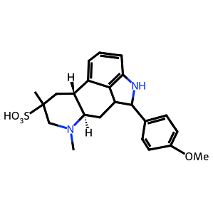 COc1ccc(C2Nc3cccc4c3C2C[C@@H]2[C@@H]4CC(C)(S(=O)(=O)O)CN2C)cc1